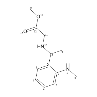 CNc1ccccc1C(C)NCC(=O)OC